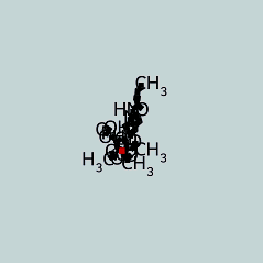 CCCC#CC(=O)Nc1ccc2cc(O[C@H]3O[C@H](CCP(=O)(O)O)[C@@H](OC(C)=O)[C@H](OC(C)=O)[C@@H]3OC(C)=O)ccc2n1